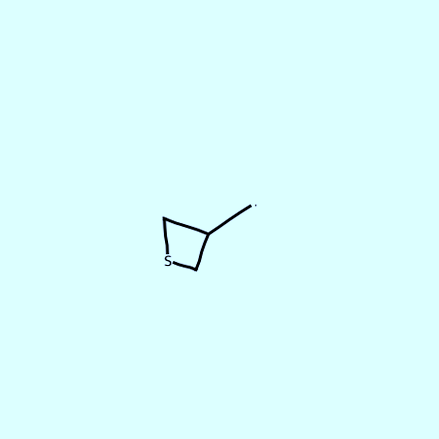 [CH2]C1CSC1